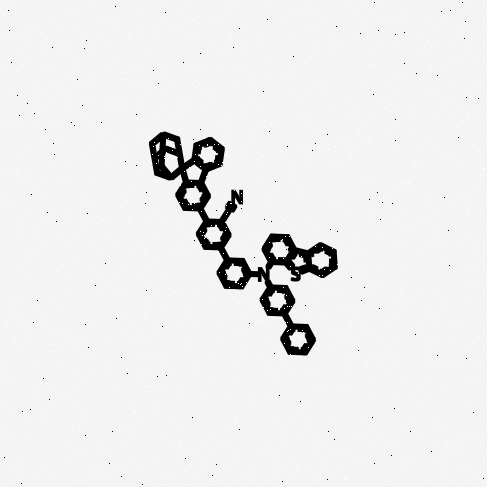 N#Cc1cc(-c2cccc(N(c3ccc(-c4ccccc4)cc3)c3cccc4c3sc3ccccc34)c2)ccc1-c1ccc2c(c1)-c1ccccc1C21C2CC3CC(C2)CC1C3